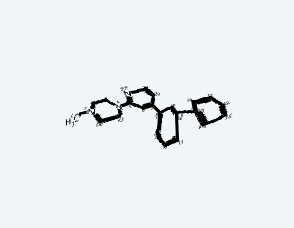 CN1CCN(c2cc(-c3cccc(-c4ccccc4)c3)ccn2)CC1